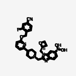 N#Cc1ccc(COc2cccc(C3=CCN(Cc4nc5ccc(N(O)O)cc5n4C[C@@H]4CCO4)CC3)n2)c(F)c1